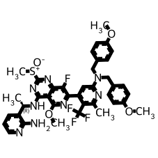 COc1ccc(CN(Cc2ccc(OC)cc2)c2cc(-c3nc(OC)c4c(N[C@H](C)c5cccnc5N)nc([S+](C)[O-])nc4c3F)c(C(F)(F)F)c(C)n2)cc1